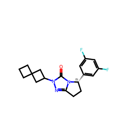 O=c1n(C2CC3(CCC3)C2)nc2n1[C@H](c1cc(F)cc(F)c1)CC2